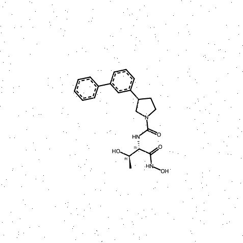 C[C@@H](O)[C@H](NC(=O)N1CCC(c2cccc(-c3ccccc3)c2)C1)C(=O)NO